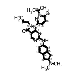 C=CCn1c(=O)c2cnc(Nc3ccc4c(c3)CC(N(C)C)C4)nc2n1-c1ccc(=O)n(C(C)C)n1